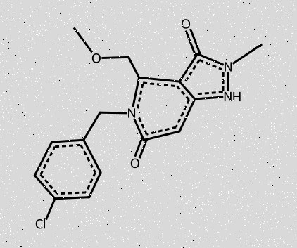 COCc1c2c(=O)n(C)[nH]c2cc(=O)n1Cc1ccc(Cl)cc1